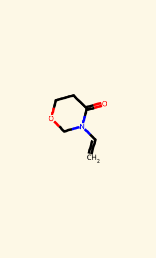 C=CN1COCCC1=O